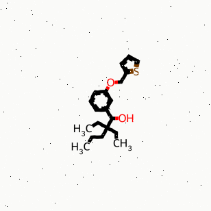 CCCC(CC)(CC)C(O)c1cccc(OCc2cccs2)c1